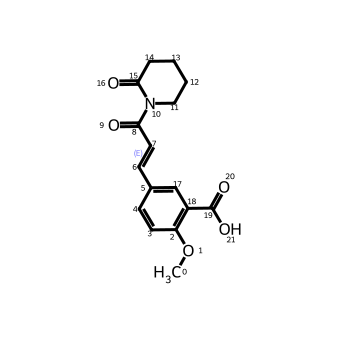 COc1ccc(/C=C/C(=O)N2CCCCC2=O)cc1C(=O)O